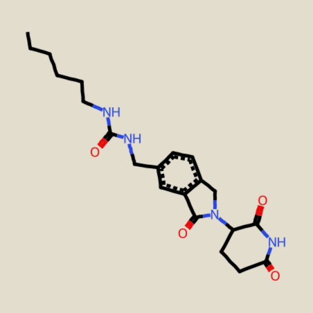 CCCCCCNC(=O)NCc1ccc2c(c1)C(=O)N(C1CCC(=O)NC1=O)C2